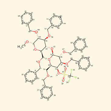 CO[C@H]1O[C@H](COCc2ccccc2)[C@@H](O[C@@H]2O[C@H](COCc3ccccc3)[C@H](OS(=O)(=O)C(F)(F)F)[C@H](OCc3ccccc3)[C@H]2OCc2ccccc2)[C@H](OCc2ccccc2)[C@H]1OCc1ccccc1